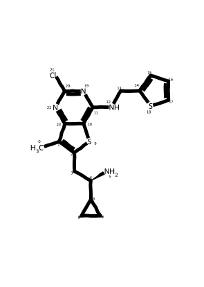 Cc1c(C[C@@H](N)C2CC2)sc2c(NCc3cccs3)nc(Cl)nc12